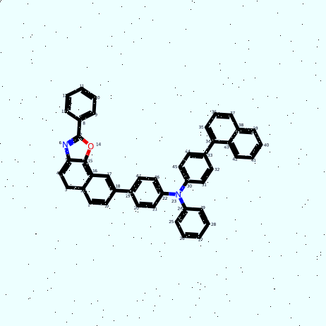 C1=CC2CC=c3nc(-c4ccccc4)oc3=C2C=C1c1ccc(N(c2ccccc2)c2ccc(-c3cccc4ccccc34)cc2)cc1